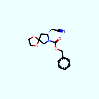 N#CC[C@H]1CC2(CN1C(=O)OCc1ccccc1)OCCO2